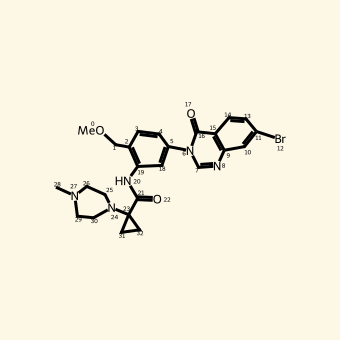 COCc1ccc(-n2cnc3cc(Br)ccc3c2=O)cc1NC(=O)C1(N2CCN(C)CC2)CC1